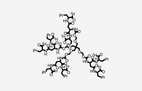 [2H]C(=O)C(CC(C)C)NC(=O)CC(NC(=O)OCOCC(COCOC(=O)NC(CC(=O)NC(CC(C)C)C([2H])=O)C(=O)NC(CC(C)C)C([2H])=O)(COCOC(=O)NC(CC(=O)NC(CC(C)C)C([2H])=O)C(=O)NC(CC(C)C)C([2H])=O)COCOC(=O)NC(CC(=O)NC(CC(C)C)C([2H])=O)C(=O)NC(CC(C)C)C([2H])=O)C(=O)NC(CC(C)C)C([2H])=O